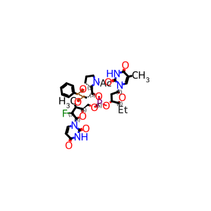 CC[C@H]1O[C@@H](n2cc(C)c(=O)[nH]c2=O)CC1O[P@@](OC[C@H]1O[C@@H](n2ccc(=O)[nH]c2=O)[C@@H](F)C1C)O[C@H](CS(=O)(=O)c1ccccc1)[C@@H]1CCCN1C(C)=O